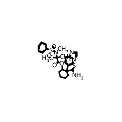 CN(C(C)(C)C(=O)OC1CCCCC1(C(N)=S)c1ccc2nccn2c1)S(=O)(=O)c1ccccc1